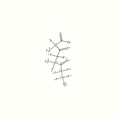 O=C(Cl)C(F)(C(=O)C(F)(F)C(F)(C(=O)C(F)(F)C(F)(F)C(F)(F)F)C(F)(F)F)C(F)(F)F